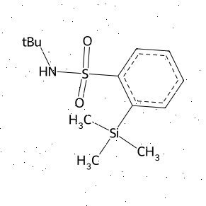 CC(C)(C)NS(=O)(=O)c1ccccc1[Si](C)(C)C